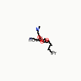 C#CCN(C)CCCCCCO[Si](C)(C)OC(CCCCCCC/C=C\CCCCCCCC)Oc1cc(C)c2c(c1)CCC(C)(CCCC(C)CCCC(C)CCCC(C)C)O2